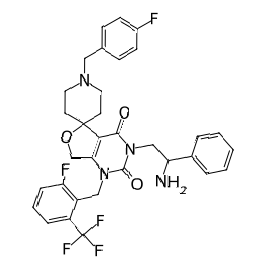 NC(Cn1c(=O)c2c(n(Cc3c(F)cccc3C(F)(F)F)c1=O)COC21CCN(Cc2ccc(F)cc2)CC1)c1ccccc1